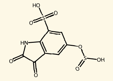 O=C1Nc2c(cc(OS(=O)O)cc2S(=O)(=O)O)C1=O